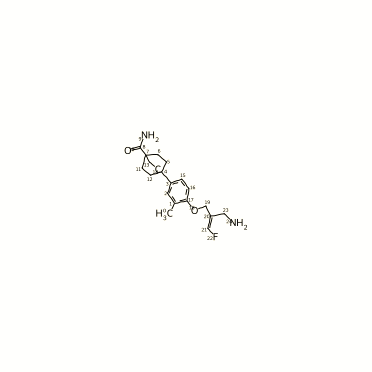 Cc1cc(C23CCC(C(N)=O)(CC2)CC3)ccc1OCC(=CF)CN